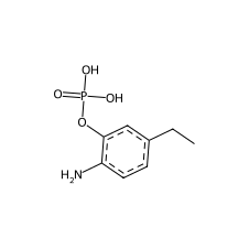 CCc1ccc(N)c(OP(=O)(O)O)c1